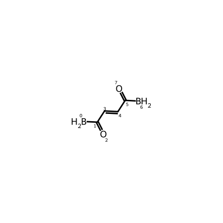 BC(=O)/C=C/C(B)=O